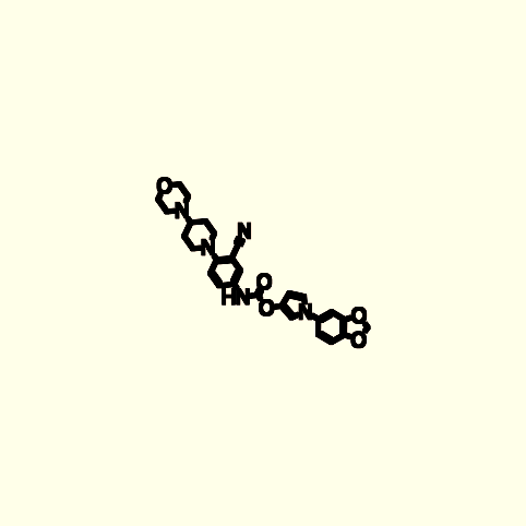 N#Cc1cc(NC(=O)Oc2ccn(-c3ccc4c(c3)OCO4)c2)ccc1N1CCC(N2CCOCC2)CC1